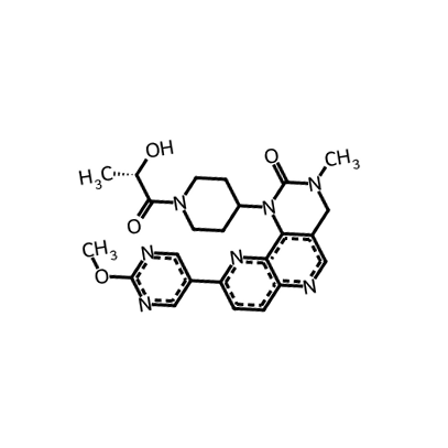 COc1ncc(-c2ccc3ncc4c(c3n2)N(C2CCN(C(=O)[C@H](C)O)CC2)C(=O)N(C)C4)cn1